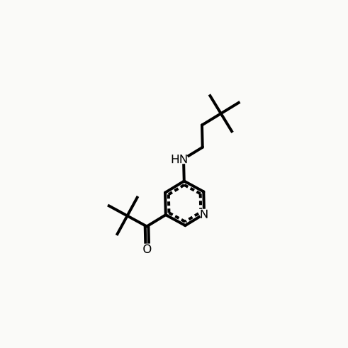 CC(C)(C)CCNc1cncc(C(=O)C(C)(C)C)c1